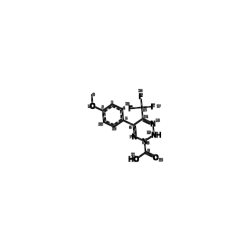 COc1ccc(C2=NN(C(=O)O)NN=C2C(F)(F)F)cc1